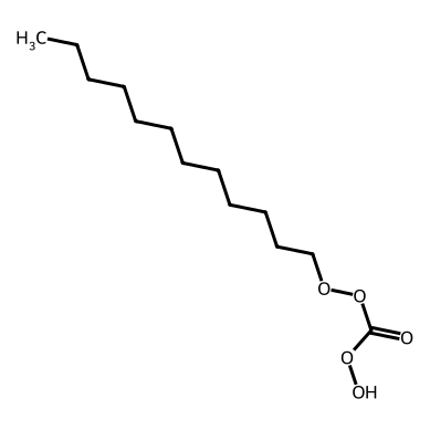 CCCCCCCCCCCCOOC(=O)OO